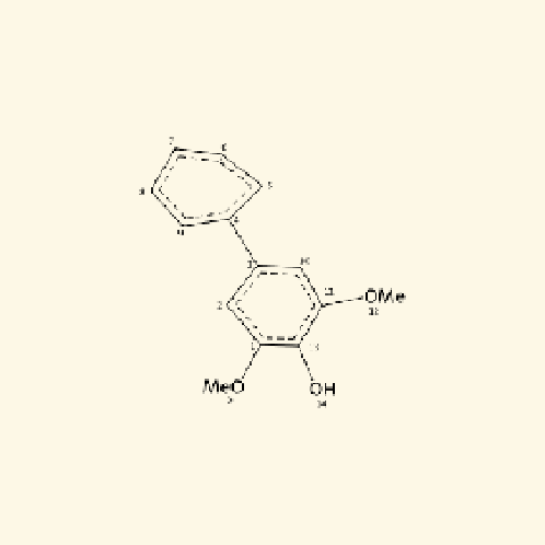 COc1cc(-c2c[c]ccc2)cc(OC)c1O